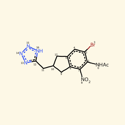 CC(=O)Nc1c(Br)cc2c(c1[N+](=O)[O-])CC(Cc1nnn[nH]1)C2